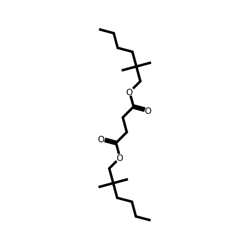 CCCCC(C)(C)COC(=O)CCC(=O)OCC(C)(C)CCCC